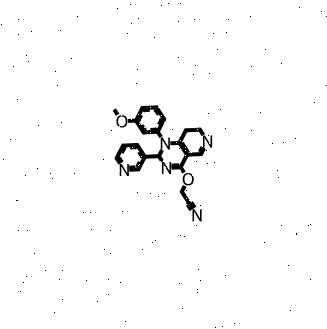 COc1cccc(N2C3=C(C=NCC3)C(OCC#N)=NC2c2cccnc2)c1